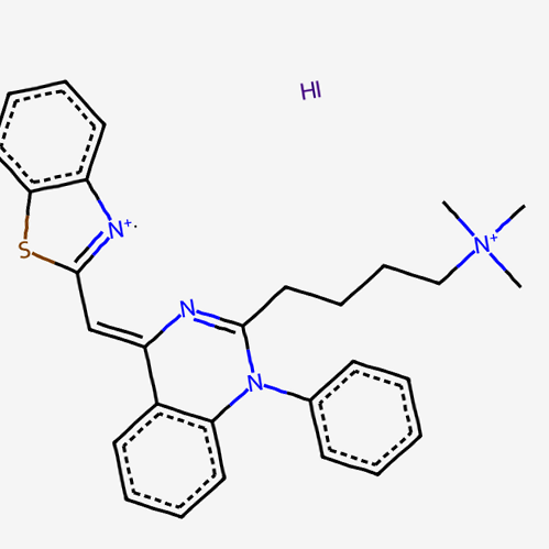 C[N+](C)(C)CCCCC1=NC(=CC2=[N+]c3ccccc3S2)c2ccccc2N1c1ccccc1.I